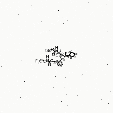 CC(C)(C)OC(=O)NC(C)(C)C(=O)N[C@H](CCC(F)(F)c1ccccc1)c1ncnn1CCOC(=O)NCCC(F)(F)F